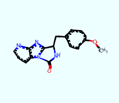 COc1ccc(CC2NC(=O)n3c2nc2ncccc23)cc1